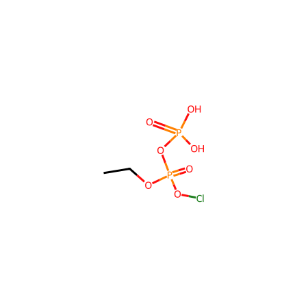 CCOP(=O)(OCl)OP(=O)(O)O